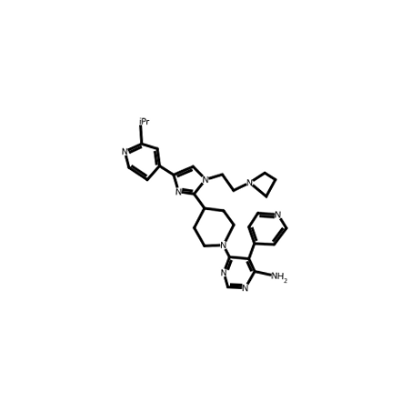 CC(C)c1cc(-c2cn(CCN3CCC3)c(C3CCN(c4ncnc(N)c4-c4ccncc4)CC3)n2)ccn1